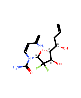 C=CC[C@H](O)[C@H]1O[C@@H](N(/C=C\C(=C)N)C(N)=O)C(F)(F)[C@@H]1O